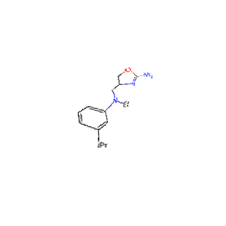 CCN(CC1COC(N)=N1)c1cccc(C(C)C)c1